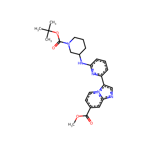 COC(=O)c1ccn2c(-c3cccc(NC4CCCN(C(=O)OC(C)(C)C)C4)n3)cnc2c1